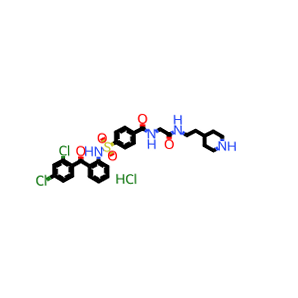 Cl.O=C(CNC(=O)c1ccc(S(=O)(=O)Nc2ccccc2C(=O)c2ccc(Cl)cc2Cl)cc1)NCCC1CCNCC1